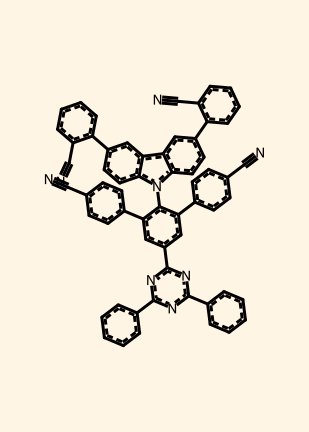 N#Cc1ccc(-c2cc(-c3nc(-c4ccccc4)nc(-c4ccccc4)n3)cc(-c3ccc(C#N)cc3)c2-n2c3ccc(-c4ccccc4C#N)cc3c3cc(-c4ccccc4C#N)ccc32)cc1